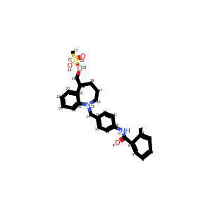 Cc1ccccc1C(=O)Nc1ccc(CN2CCCC(COS(C)(=O)=O)c3ccccc32)cc1